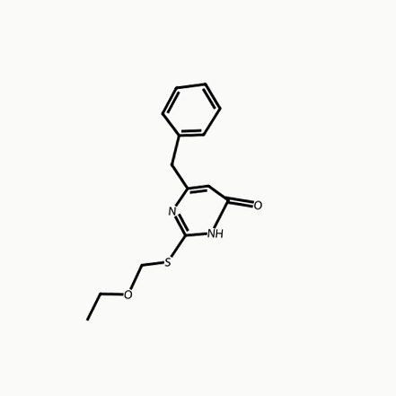 CCOCSc1nc(Cc2ccccc2)cc(=O)[nH]1